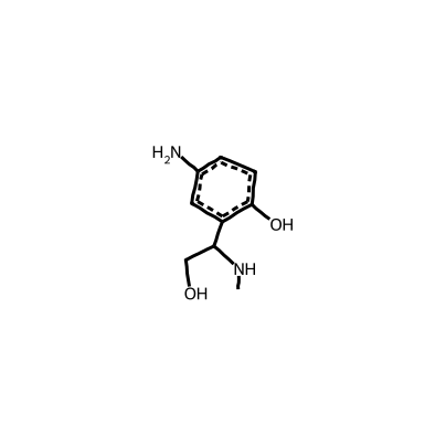 CNC(CO)c1cc(N)ccc1O